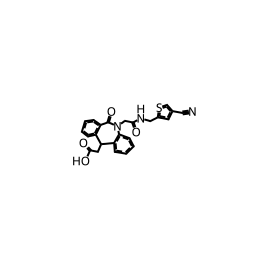 N#Cc1csc(CNC(=O)CN2C(=O)c3ccccc3C(CC(=O)O)c3ccccc32)c1